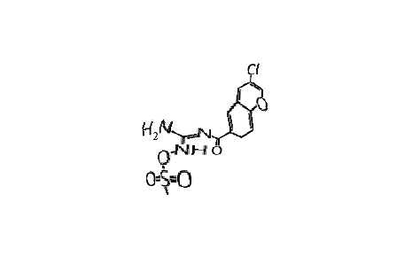 CS(=O)(=O)ONC(N)=NC(=O)C1=CC2=CC(Cl)=COC2=CC1